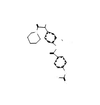 CC(C(=O)N1CCCCC1)c1ccc(OC(=O)c2ccc(NC(=N)N)cc2)cc1.CS(=O)(=O)O